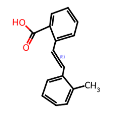 Cc1ccccc1/C=C/c1ccccc1C(=O)O